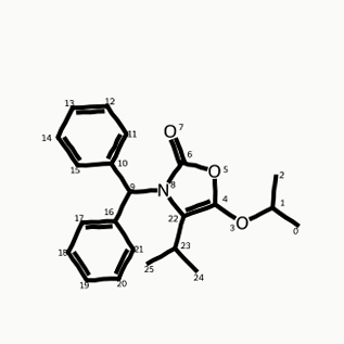 CC(C)Oc1oc(=O)n(C(c2ccccc2)c2ccccc2)c1C(C)C